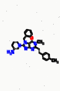 Cc1ccc(CCc2nc3nc(N4CCCC(N)C4)n(Cc4ccccc4)c3c(=O)n2C)cc1